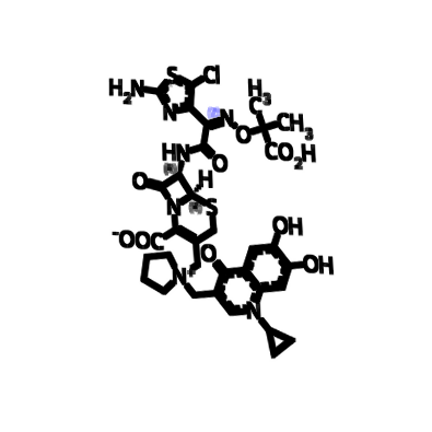 CC(C)(O/N=C(\C(=O)N[C@@H]1C(=O)N2C(C(=O)[O-])=C(C[N+]3(Cc4cn(C5CC5)c5cc(O)c(O)cc5c4=O)CCCC3)CS[C@H]12)c1nc(N)sc1Cl)C(=O)O